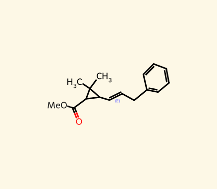 COC(=O)C1C(/C=C/Cc2ccccc2)C1(C)C